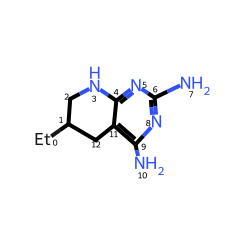 [CH2]CC1CNc2nc(N)nc(N)c2C1